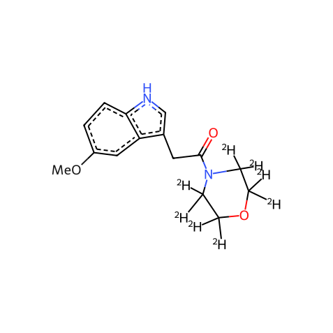 [2H]C1([2H])OC([2H])([2H])C([2H])([2H])N(C(=O)Cc2c[nH]c3ccc(OC)cc23)C1([2H])[2H]